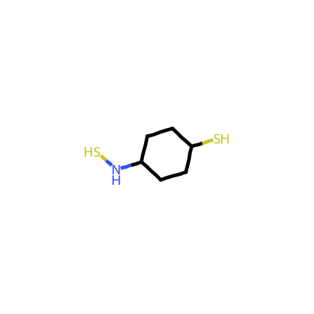 SNC1CCC(S)CC1